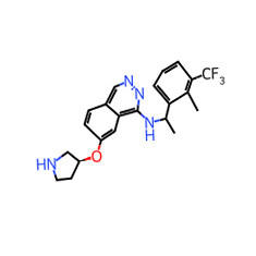 Cc1c(C(C)Nc2nncc3ccc(O[C@H]4CCNC4)cc23)cccc1C(F)(F)F